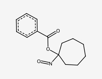 O=NC1(OC(=O)c2ccccc2)CCCCCC1